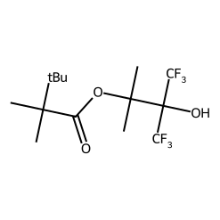 CC(C)(C)C(C)(C)C(=O)OC(C)(C)C(O)(C(F)(F)F)C(F)(F)F